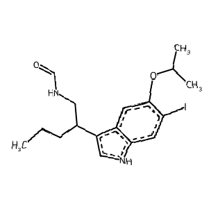 CCCC(CNC=O)c1c[nH]c2cc(I)c(OC(C)C)cc12